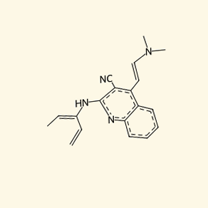 C=C/C(=C\C)Nc1nc2ccccc2c(/C=C/N(C)C)c1C#N